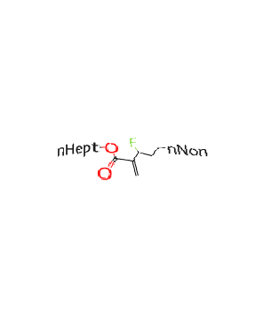 C=C(C(=O)OCCCCCCC)C(F)CCCCCCCCCCC